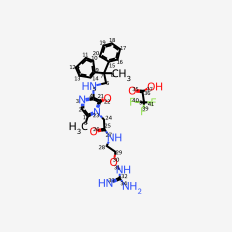 Cc1cnc(NCC(C)(c2ccccc2)c2ccccc2)c(=O)n1CC(=O)NCCONC(=N)N.O=C(O)C(F)(F)F